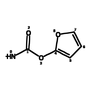 [NH]C(=O)Oc1ccco1